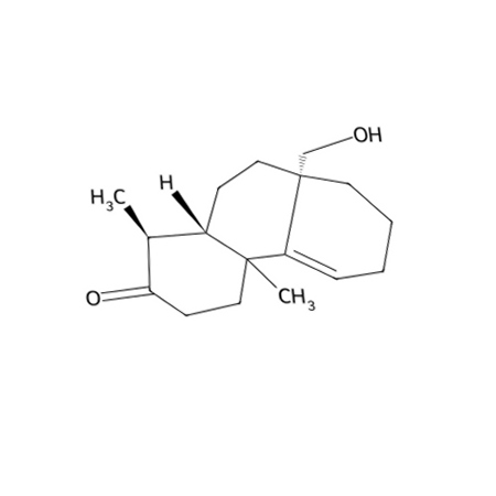 C[C@@H]1C(=O)CCC2(C)C3=CCCC[C@]3(CO)CC[C@@H]12